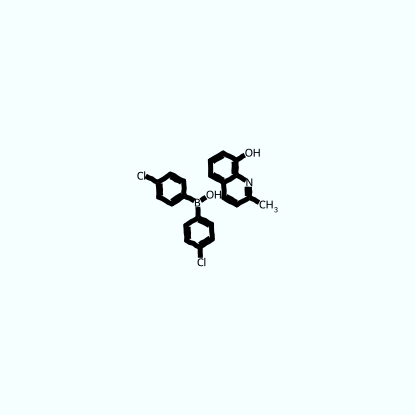 Cc1ccc2cccc(O)c2n1.OB(c1ccc(Cl)cc1)c1ccc(Cl)cc1